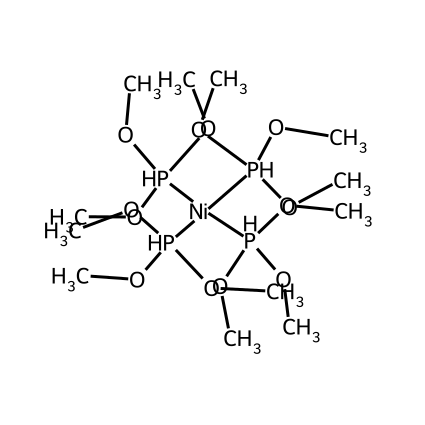 CO[PH](OC)(OC)[Ni]([PH](OC)(OC)OC)([PH](OC)(OC)OC)[PH](OC)(OC)OC